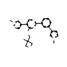 Cn1ccc(-c2cccc(-c3ncc(-c4cnn(C)c4)c(OCC4(C)COC4)n3)c2)c1